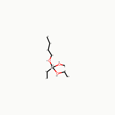 CCCCO[Si](CC)(OC)OCC